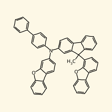 CC1(c2cccc3c2oc2ccccc23)c2ccccc2-c2ccc(N(c3ccc(-c4ccccc4)cc3)c3ccc4c(c3)oc3ccccc34)cc21